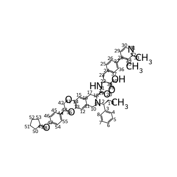 CC[C@@H](c1ccccc1)N1Cc2cc3c(cc2C[C@H]1C(=O)N[C@@H](Cc1ccc(-c2ccnc(C)c2C)cc1)C(=O)O)OC[C@H](c1ccc(OC2CCCC2)cc1)O3